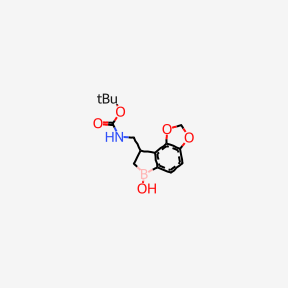 CC(C)(C)OC(=O)NCC1CB(O)c2ccc3c(c21)OCO3